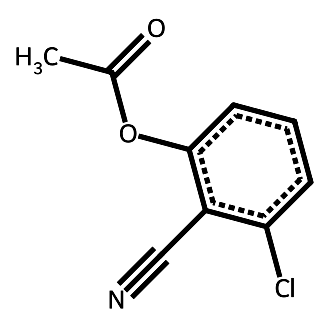 CC(=O)Oc1cccc(Cl)c1C#N